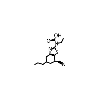 CCCC1Cc2nc(N(CC)C(=O)O)sc2C(C#N)C1